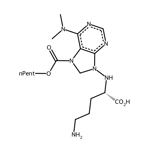 CCCCCOC(=O)N1CN(N[C@@H](CCCN)C(=O)O)c2ncnc(N(C)C)c21